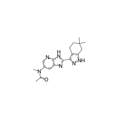 CC(=O)N(C)c1cnc2[nH]c(-c3n[nH]c4c3CCC(C)(C)C4)nc2c1